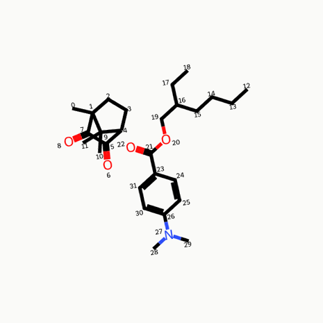 CC12CCC(C(=O)C1=O)C2(C)C.CCCCC(CC)COC(=O)c1ccc(N(C)C)cc1